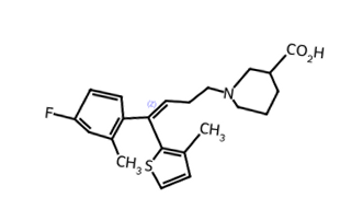 Cc1cc(F)ccc1/C(=C/CCN1CCCC(C(=O)O)C1)c1sccc1C